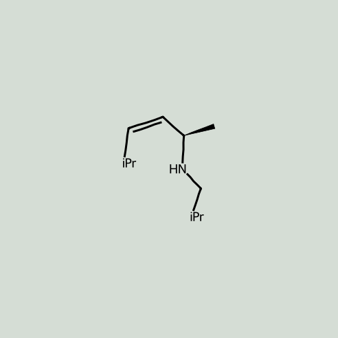 CC(C)/C=C\[C@@H](C)NCC(C)C